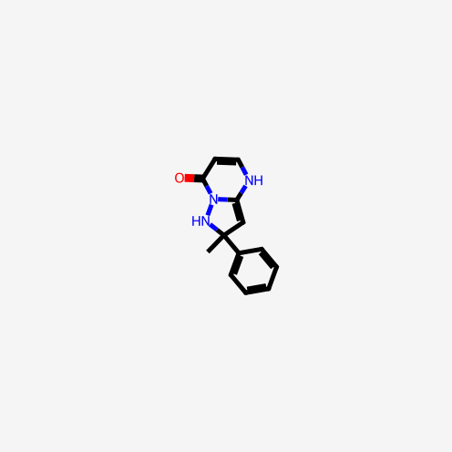 CC1(c2ccccc2)C=C2NC=CC(=O)N2N1